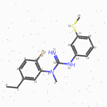 CCc1ccc(Br)c(N(C)C(=N)Nc2cccc(SC)c2)c1